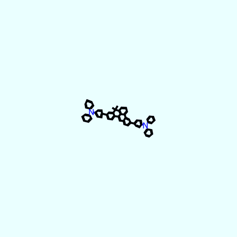 CC1(C)c2cc(-c3ccc(N(c4ccccc4)c4ccccc4)cc3)ccc2-c2cc3ccc(-c4ccc(N(c5ccccc5)c5ccccc5)cc4)cc3c3cccc1c23